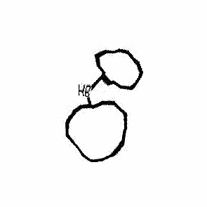 B(C1CCCCCCCCCCCCCC1)C1CCCCCCCCCC1